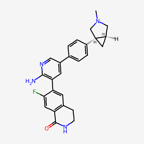 CN1C[C@H]2C[C@@]2(c2ccc(-c3cnc(N)c(-c4cc5c(cc4F)C(=O)NCC5)c3)cc2)C1